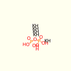 O=P(O)(O)OP(=O)(O)O.[KH].[KH].[KH].[KH].[KH]